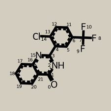 O=c1[nH]c(-c2cc(C(F)(F)F)ccc2Cl)nc2ccccc12